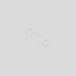 Cc1nc(C)c(Nc2nc(C)c3c(C)c(C)c(C)c(C)c3c2C)nc1C